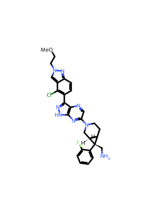 COCCn1cc2c(Cl)c(-c3n[nH]c4nc(N5CC[C@@H]6[C@H](C5)[C@@]6(CN)c5ccccc5F)cnc34)ccc2n1